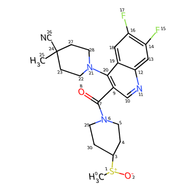 C[S+]([O-])C1CCN(C(=O)c2cnc3cc(F)c(F)cc3c2N2CCC(C)(C#N)CC2)CC1